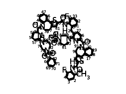 Cc1cccc(F)c1NC(=O)c1cc2c(s1)-c1ccccc1N(C(=O)c1ccc(Cc3cccc(F)c3NC(=O)c3cc4c(s3)-c3ccccc3N(C(=O)c3cccc(N5CCCN(S(=O)(=O)c6ccccc6)CC5)n3)CC4)c(N3CCCN(S(C)(=O)=O)CC3)n1)CC2